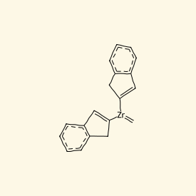 [CH2]=[Zr]([C]1=Cc2ccccc2C1)[C]1=Cc2ccccc2C1